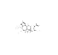 C/C=C(\C)C(=O)O[C@@H]1[C@@H](C)C2[C@@H]([C@@H]3O[C@]3(CO)[C@@H](O)[C@]3(O)C(=O)C(C)=C[C@@H]23)[C@H]2C(C)(C)[C@]12OC(=O)C(C)CC